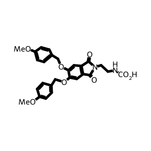 COc1ccc(COc2cc3c(cc2OCc2ccc(OC)cc2)C(=O)N(CCNC(=O)O)C3=O)cc1